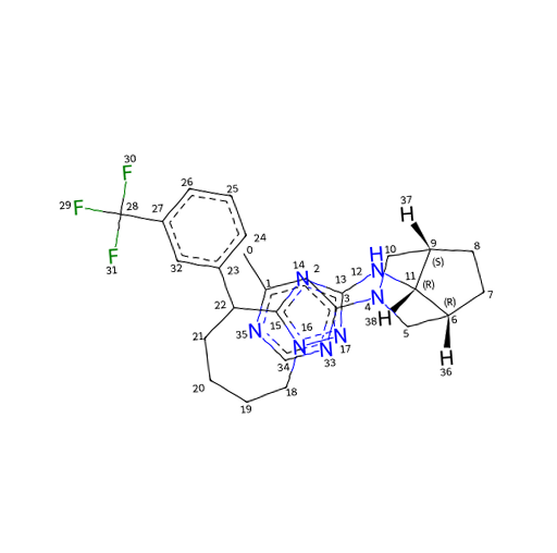 Cc1cc(N2C[C@H]3CC[C@@H](C2)[C@H]3Nc2nc3n(n2)CCCCC3c2cccc(C(F)(F)F)c2)ncn1